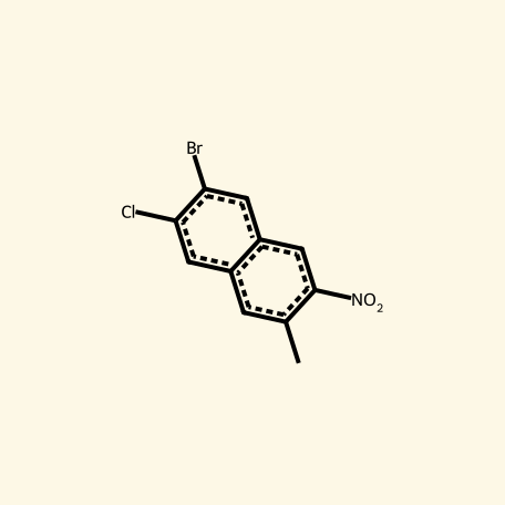 Cc1cc2cc(Cl)c(Br)cc2cc1[N+](=O)[O-]